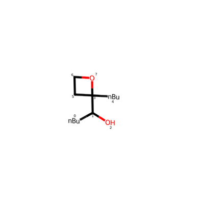 CCCCC(O)C1(CCCC)CCO1